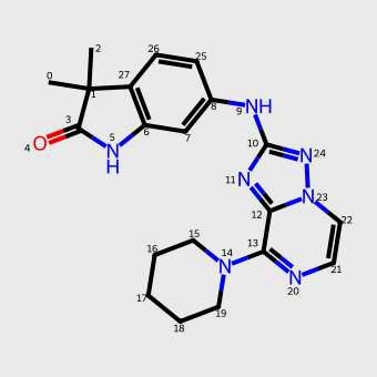 CC1(C)C(=O)Nc2cc(Nc3nc4c(N5CCCCC5)nccn4n3)ccc21